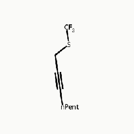 CCCCCC#CCSC(F)(F)F